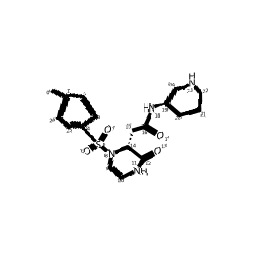 Cc1ccc(S(=O)(=O)N2C=CNC(=O)[C@H]2CC(=O)N[C@@H]2CCCNC2)cc1